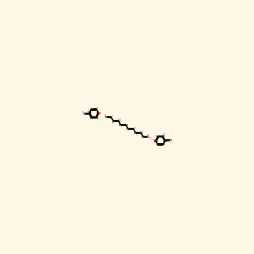 OCc1ccc(OCCCCCCCCCCCCOc2ccc(CO)cc2)cc1